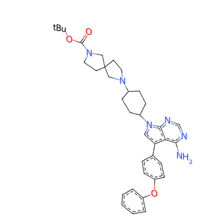 CC(C)(C)OC(=O)N1CCC2(CCN(C3CCC(n4cc(-c5ccc(Oc6ccccc6)cc5)c5c(N)ncnc54)CC3)C2)C1